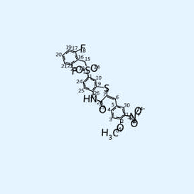 COc1ccc(/C=C2/Sc3cc(S(=O)(=O)Cc4c(F)cccc4F)ccc3NC2=O)cc1[N+](=O)[O-]